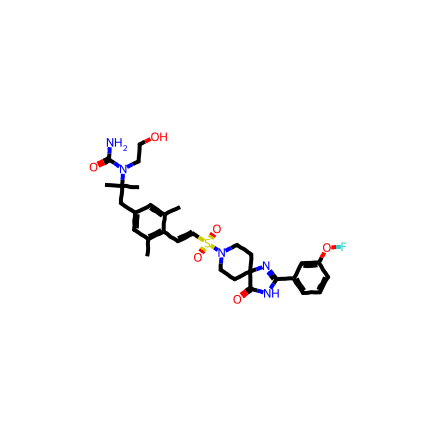 Cc1cc(CC(C)(C)N(CCO)C(N)=O)cc(C)c1/C=C/S(=O)(=O)N1CCC2(CC1)N=C(c1cccc(OF)c1)NC2=O